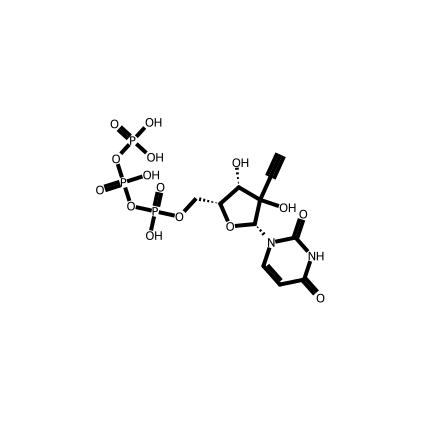 C#CC1(O)[C@@H](O)[C@@H](COP(=O)(O)OP(=O)(O)OP(=O)(O)O)O[C@H]1n1ccc(=O)[nH]c1=O